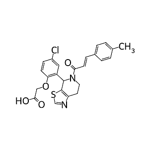 Cc1ccc(/C=C/C(=O)N2CCc3ncsc3C2c2cc(Cl)ccc2OCC(=O)O)cc1